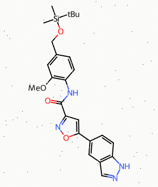 COc1cc(CO[Si](C)(C)C(C)(C)C)ccc1NC(=O)c1cc(-c2ccc3[nH]ncc3c2)on1